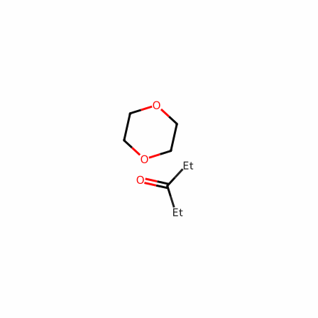 C1COCCO1.CCC(=O)CC